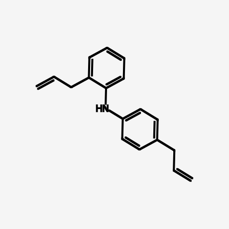 C=CCc1ccc(Nc2ccccc2CC=C)cc1